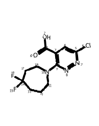 O=C(O)c1cc(Cl)nnc1N1CCCC(F)(F)CC1